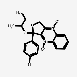 CCC(C)OC1(c2ccc(Cl)cc2)OCc2c1[n+]([O-])c1ccccc1[n+]2[O-]